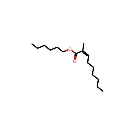 CCCCCCC=C(C)C(=O)OCCCCCC